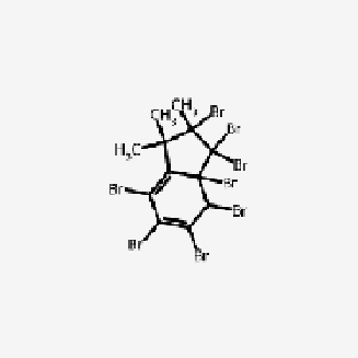 CC1(C)C2=C(Br)C(Br)=C(Br)C(Br)C2(Br)C(Br)(Br)C1(C)Br